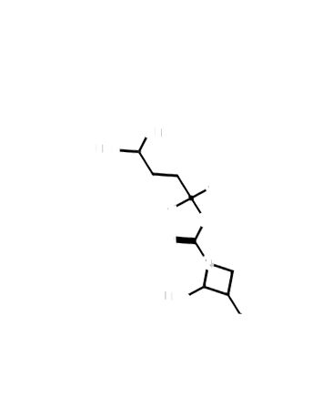 CC(C)CCC(C)(C)OC(=O)N1CC(I)C1C